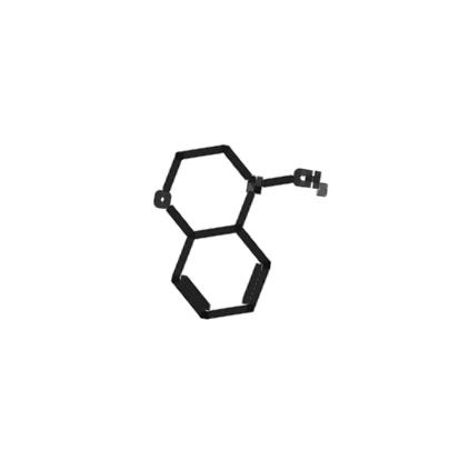 CN1CCOC2C=CC=CC21